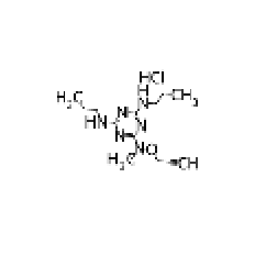 C#CCON(C)c1nc(NCCC)nc(NCCC)n1.Cl